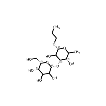 CCCO[C@@H]1OC(C)[C@H](O)[C@H](O[C@H]2O[C@@H](CO)[C@@H](O)C(O)C2O)C1O